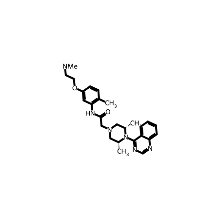 CNCCOc1ccc(C)c(NC(=O)CN2C[C@@H](C)N(c3ncnc4ccccc34)[C@@H](C)C2)c1